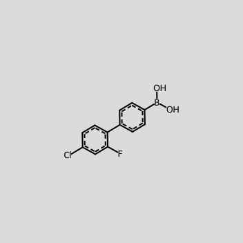 OB(O)c1ccc(-c2ccc(Cl)cc2F)cc1